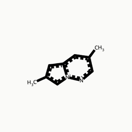 Cc1cnn2cc(C)cc2c1